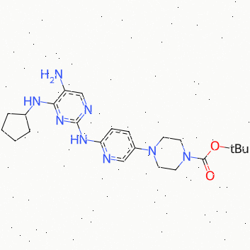 CC(C)(C)OC(=O)N1CCN(c2ccc(Nc3ncc(N)c(NC4CCCC4)n3)nc2)CC1